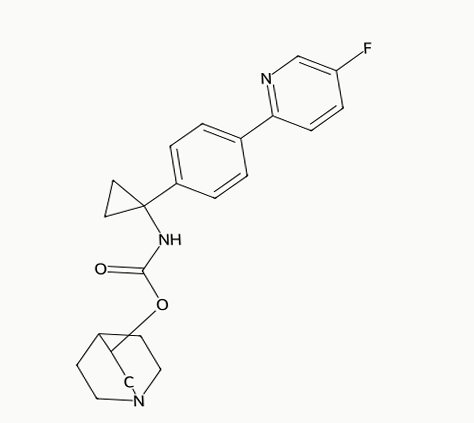 O=C(NC1(c2ccc(-c3ccc(F)cn3)cc2)CC1)OC1CN2CCC1CC2